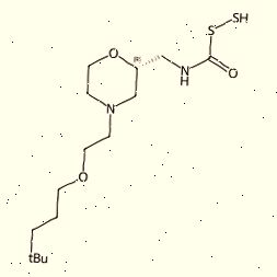 CC(C)(C)CCCOCCN1CCO[C@H](CNC(=O)SS)C1